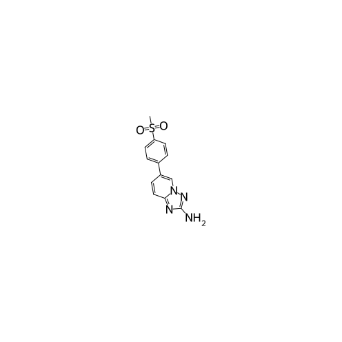 CS(=O)(=O)c1ccc(-c2ccc3nc(N)nn3c2)cc1